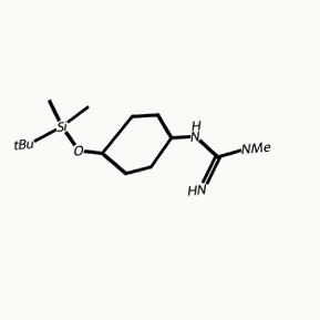 CNC(=N)NC1CCC(O[Si](C)(C)C(C)(C)C)CC1